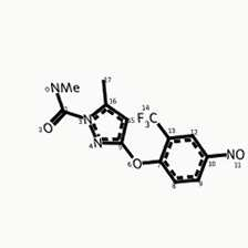 CNC(=O)n1nc(Oc2ccc(N=O)cc2C(F)(F)F)cc1C